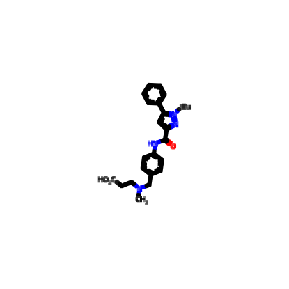 CN(CCC(=O)O)Cc1ccc(NC(=O)c2cc(-c3ccccc3)n(C(C)(C)C)n2)cc1